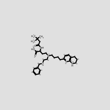 CC(C)(C)CC(=O)NC(CCN(CCCCc1ccc2c(n1)NCCC2)CCOCc1ccccc1)C(=O)O